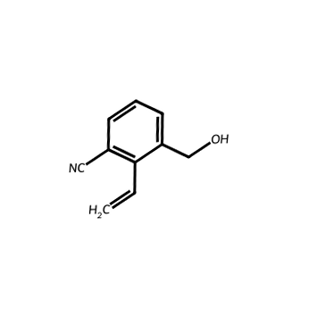 C=Cc1c(C#N)cccc1CO